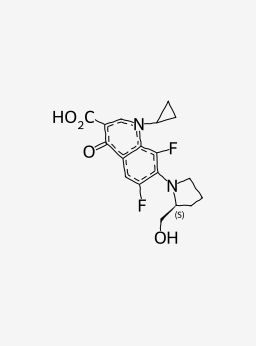 O=C(O)c1cn(C2CC2)c2c(F)c(N3CCC[C@H]3CO)c(F)cc2c1=O